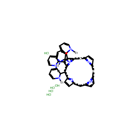 CCN1C=CC=CC1c1c(C2C=CC=CN2CC)c2c(C3C=CC=CN3CC)c3nc(cc4ccc(cc5nc(cc1n2C1C=CC=CN1CC)C=C5)[nH]4)C=C3.Cl.Cl.Cl.Cl.Cl